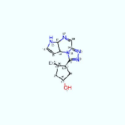 CC[C@@H]1C[C@@H](O)C[C@@H]1c1nnc2n1C1C=CNC1N=C2